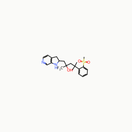 CC(C)(CC(O)(CC1Cc2ccncc2N1)C(F)(F)F)c1ccccc1S(C)(=O)=O